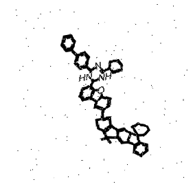 CC1(C)C2=CC3c4ccccc4C4(CCCCC4)C3C=C2C2=C1CCC(C1=CC3c4cccc(C5NC(C6C=CC=CC6)=NC(c6ccc(-c7ccccc7)cc6)N5)c4OC3C=C1)=C2